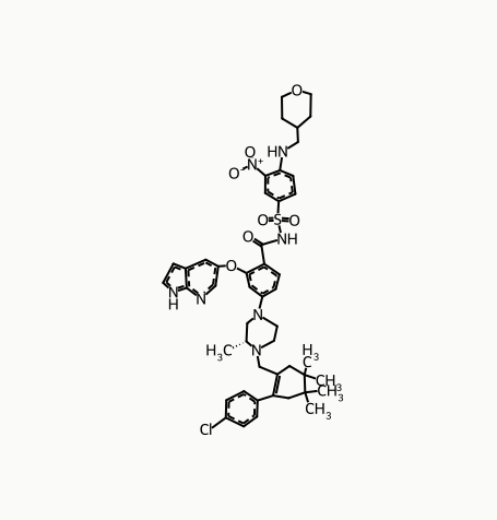 C[C@@H]1CN(c2ccc(C(=O)NS(=O)(=O)c3ccc(NCC4CCOCC4)c([N+](=O)[O-])c3)c(Oc3cnc4[nH]ccc4c3)c2)CCN1CC1=C(c2ccc(Cl)cc2)CC(C)(C)C(C)(C)C1